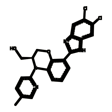 Cc1ccc(N2c3cccc(-c4nc5cc(Cl)c(Cl)cc5[nH]4)c3OC[C@@H]2CO)nc1